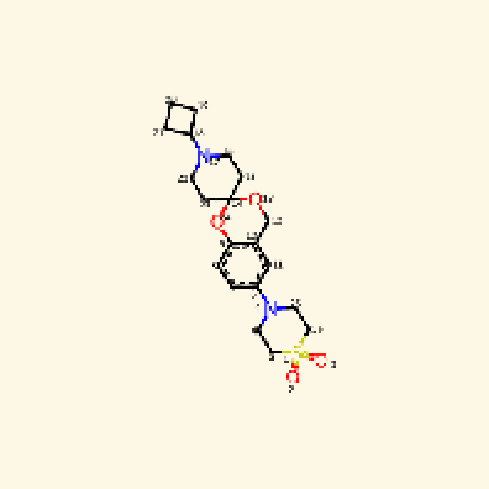 O=S1(=O)CCN(c2ccc3c(c2)COC2(CCN(C4CCC4)CC2)O3)CC1